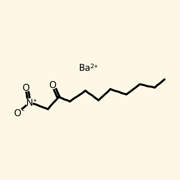 CCCCCCCCC(=O)C[N+](=O)[O-].[Ba+2]